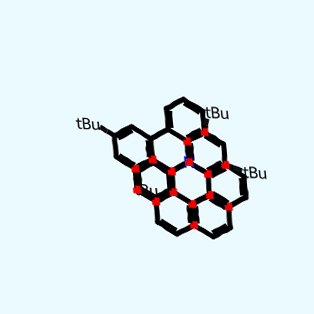 CC(C)(C)c1cc(-c2ccccc2N(c2ccccc2-c2ccccc2)c2ccccc2-c2cccc3cccc(-c4cc(C(C)(C)C)cc(C(C)(C)C)c4)c23)cc(C(C)(C)C)c1